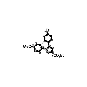 CCOC(=O)c1cc(-c2ccc(CC)cc2)n(-c2ccc(OC)nc2)n1